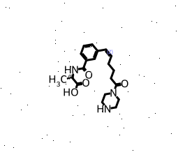 C[C@@H](NC(=O)c1cccc(/C=C\CCCC(=O)N2CCNCC2)c1)C(=O)O